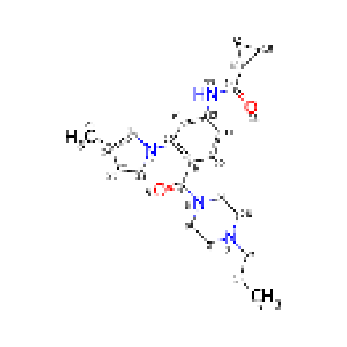 CCCN1CCN(C(=O)c2ccc(NC(=O)C3CC3)cc2-n2ccc(C)c2)CC1